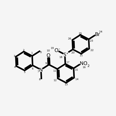 Cc1ccccc1N(C)C(=O)c1cccc([N+](=O)[O-])c1[S+]([O-])c1ccc(Br)cc1